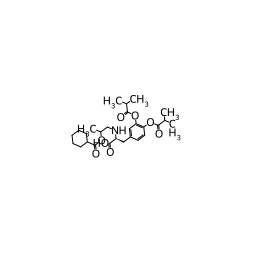 CC(CN[C@@H](Cc1ccc(OC(=O)C(C)C)c(OC(=O)C(C)C)c1)C(=O)O)OC(=O)C1CCCCC1